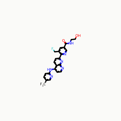 O=C(NCCO)c1cnc(-c2ccc3c(Nc4ccc(C(F)(F)F)cn4)ccnc3n2)c(CF)c1